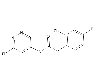 O=C(Cc1ccc(F)cc1Cl)Nc1cnnc(Cl)c1